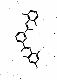 CC(=Nc1c(C)cccc1C)c1cccc(C(C)=Nc2c(C)cc(Cl)cc2Cl)n1